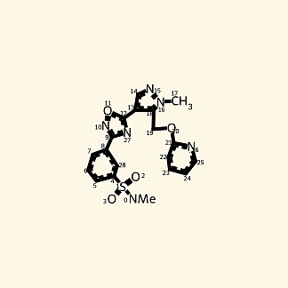 CNS(=O)(=O)c1cccc(-c2noc(-c3cnn(C)c3COc3ccccn3)n2)c1